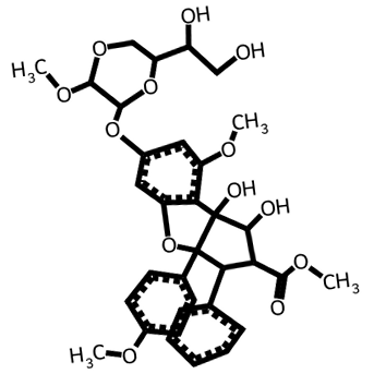 COC(=O)C1C(O)C2(O)c3c(OC)cc(OC4OC(C(O)CO)COC4OC)cc3OC2(c2ccc(OC)cc2)C1c1ccccc1